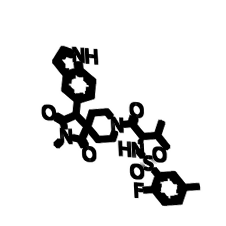 Cc1ccc(F)c(S(=O)(=O)N[C@@H](C(=O)N2CCC3(CC2)C(=O)N(C)C(=O)C3c2ccc3[nH]ccc3c2)C(C)C)c1